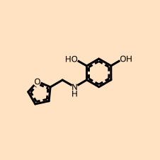 Oc1ccc(NCc2ccco2)c(O)c1